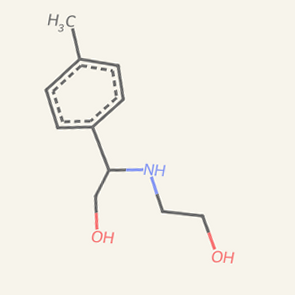 Cc1ccc(C(CO)NCCO)cc1